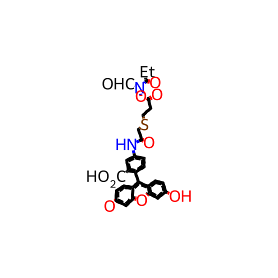 CCC(=O)N(C=O)OC(=O)CCSCC(=O)Nc1ccc(-c2c3ccc(=O)cc-3oc3cc(O)ccc23)c(C(=O)O)c1